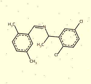 Cc1ccc(C)c(/C=N\C(C)c2cc(Cl)ccc2Cl)c1